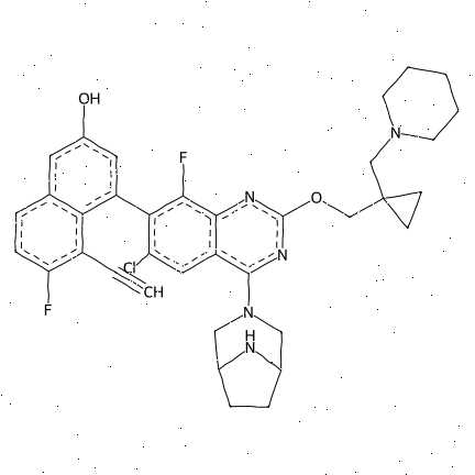 C#Cc1c(F)ccc2cc(O)cc(-c3c(Cl)cc4c(N5CC6CCC(C5)N6)nc(OCC5(CN6CCCCC6)CC5)nc4c3F)c12